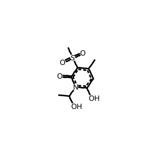 Cc1cc(O)n(C(C)O)c(=O)c1S(C)(=O)=O